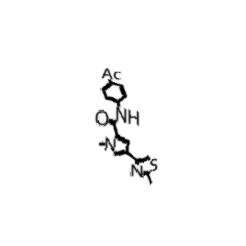 CC(=O)c1ccc(NC(=O)c2cc(-c3csc(C)n3)cn2C)cc1